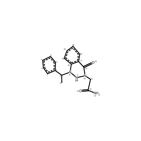 CC(c1ccccc1)N1NN(CC(N)=O)C(=O)c2ccccc21